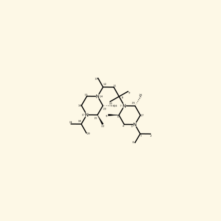 CC(C)N1C[C@@H](C)N(C(C)(C)CC(C)N2CCN(C(C)C)[C@H](C)[C@H]2C)[C@H](C)C1